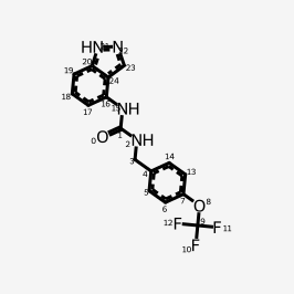 O=C(NCc1ccc(OC(F)(F)F)cc1)Nc1cccc2[nH]ncc12